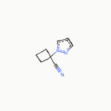 N#CC1(n2cccn2)CCC1